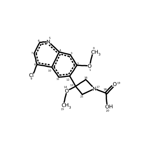 COc1cc2nccc(Cl)c2cc1C1(OC)CN(C(=O)O)C1